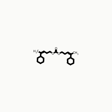 C/C(=C/CCOC(=O)OCC/C=C(/C)C1CCCCC1)C1CCCCC1